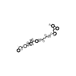 C[C@H](CC(=O)N1CCC(O)(Cn2cnc3c(-c4ccc(CNC(=O)CCC(=O)NCCOc5ncccc5C=C5c6ccccc6-c6ccc(F)cc65)cc4)n(C)nc3c2=O)CC1)c1ccccc1